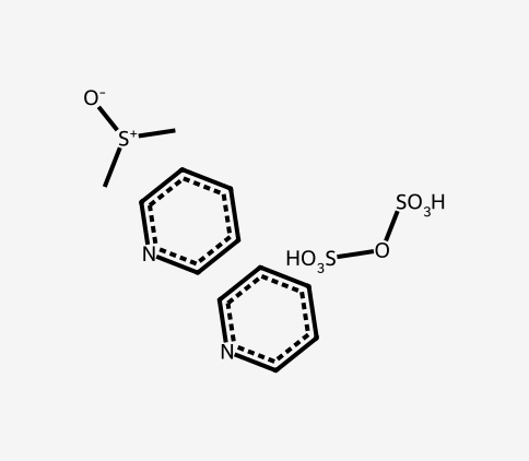 C[S+](C)[O-].O=S(=O)(O)OS(=O)(=O)O.c1ccncc1.c1ccncc1